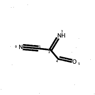 N#CC(=N)C=O